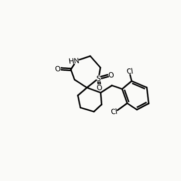 O=C1CC2(CCCCC2Cc2c(Cl)cccc2Cl)S(=O)(=O)CCN1